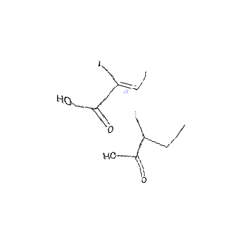 C/C=C(\I)C(=O)O.CCC(I)C(=O)O